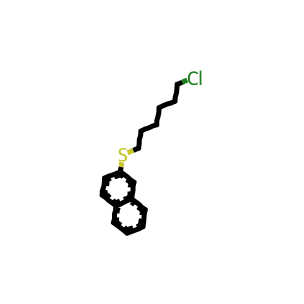 ClCCCCCCSc1ccc2ccccc2c1